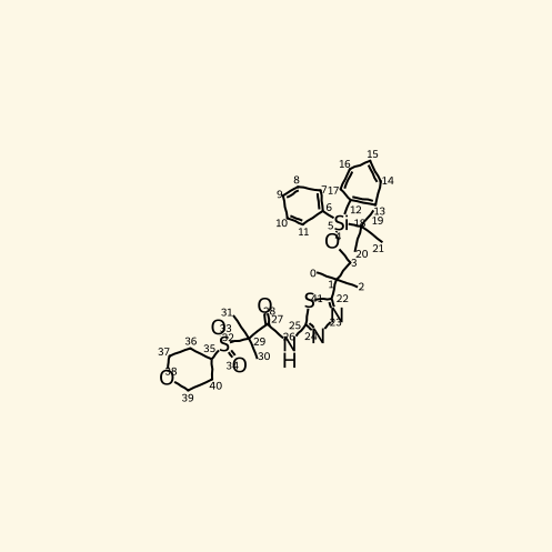 CC(C)(CO[Si](c1ccccc1)(c1ccccc1)C(C)(C)C)c1nnc(NC(=O)C(C)(C)S(=O)(=O)C2CCOCC2)s1